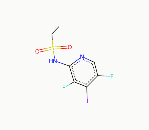 CCS(=O)(=O)Nc1ncc(F)c(I)c1F